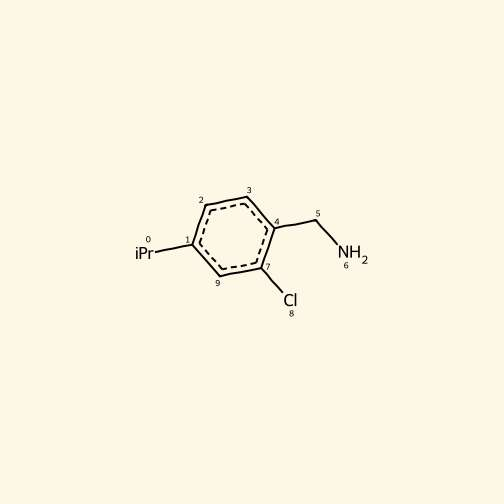 CC(C)c1ccc(CN)c(Cl)c1